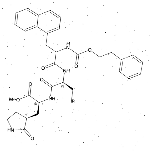 COC(=O)[C@H](C[C@@H]1CCNC1=O)NC(=O)[C@H](CC(C)C)NC(=O)C(Cc1cccc2ccccc12)NC(=O)OCCc1ccccc1